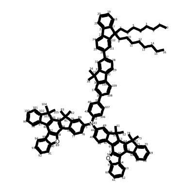 CCCCCCCCC1(CCCCCCCC)c2ccccc2-c2ccc(-c3ccc4c(c3)C(C)(C)c3cc(-c5ccc(N(c6ccc7c(c6)C(C)(C)c6c8c(c9c(oc%10ccccc%109)c6-7)-c6ccccc6C8(C)C)c6ccc7c(c6)C(C)(C)c6c8c(c9c(oc%10ccccc%109)c6-7)-c6ccccc6C8(C)C)cc5)ccc3-4)cc21